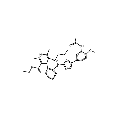 CCOC(=O)C1=C(C)NC(C)=C(C(=O)OCC)C1c1ccccc1Nc1nc(-c2ccc(OC)c(NC(C)=O)c2)cs1